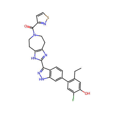 CCc1cc(O)c(F)cc1-c1ccc2c(-c3nc4c([nH]3)CCN(C(=O)c3ccsn3)CC4)n[nH]c2c1